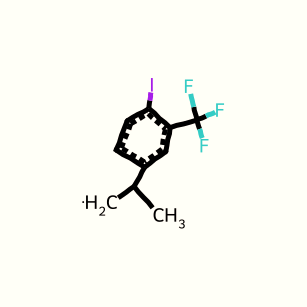 [CH2]C(C)c1ccc(I)c(C(F)(F)F)c1